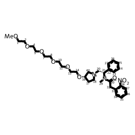 COCCOCCOCCOCCOCCO[C@H]1CCN(C[C@H](c2ccccc2)N(C)C(=O)Cc2ccccc2[N+](=O)[O-])C1